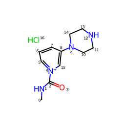 CNC(=O)[n+]1cccc(N2CCNCC2)c1.Cl